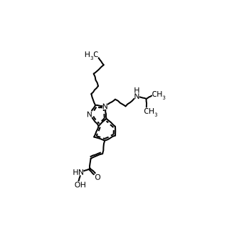 CCCCCc1nc2cc(C=CC(=O)NO)ccc2n1CCNC(C)C